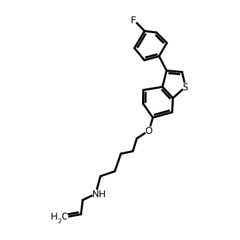 C=CCNCCCCCOc1ccc2c(-c3ccc(F)cc3)csc2c1